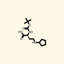 CC(C)(C)OC(=O)N[C@@H](CCNC1CCCC1)C(=O)O